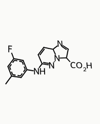 Cc1cc(F)cc(NC2=NN3C(C=C2)N=CC3C(=O)O)c1